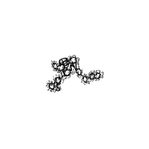 c1cc(-c2ccc(N(c3ccc(-c4ccc5c(c4)sc4ccccc45)cc3)c3cccc4oc5c6ccccc6ccc5c34)cc2)cc(-c2ccc3ccccc3c2)c1